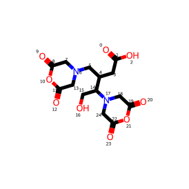 O=C(O)CC(CN1CC(=O)OC(=O)C1)C(CO)N1CC(=O)OC(=O)C1